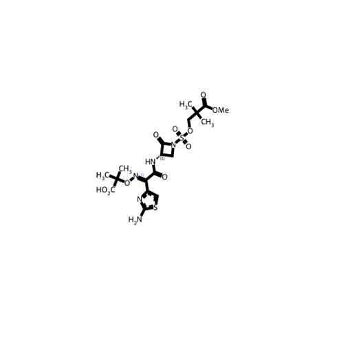 COC(=O)C(C)(C)COS(=O)(=O)N1C[C@H](NC(=O)/C(=N/OC(C)(C)C(=O)O)c2csc(N)n2)C1=O